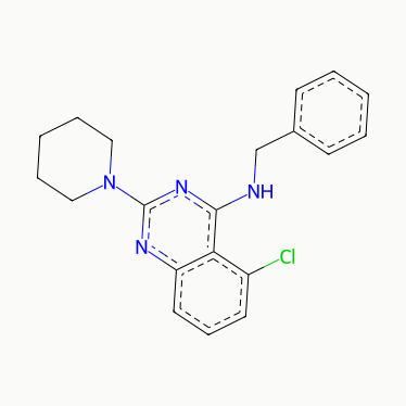 Clc1cccc2nc(N3CCCCC3)nc(NCc3ccccc3)c12